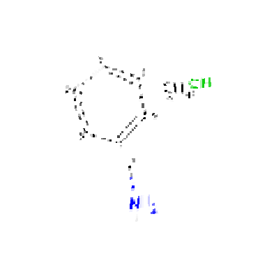 C.CN.Cl.c1ccccc1